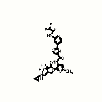 Cn1cc(NC(=O)c2coc(-c3ccnc(NC(F)C(F)F)c3)n2)c(N2CC(CNC3CC3)C(C)(C)C2=O)n1